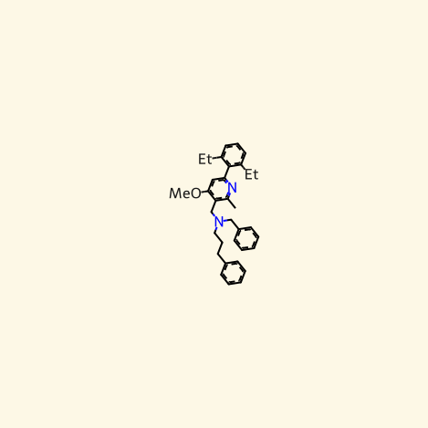 CCc1cccc(CC)c1-c1cc(OC)c(CN(CCCc2ccccc2)Cc2ccccc2)c(C)n1